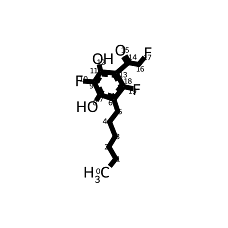 CCCCCCc1c(O)c(F)c(O)c(C(=O)CF)c1F